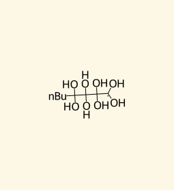 CCCCC(O)(O)C(O)(O)C(O)(O)[C](O)O